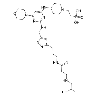 CC(O)CNCCC(=O)NCCCn1cc(CNc2nc(NC3CCN(CCP(=O)(O)O)CC3)cc(N3CCOCC3)n2)nn1